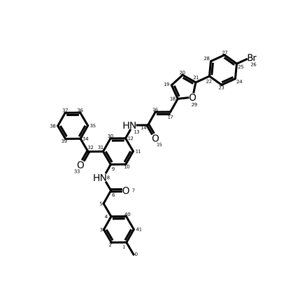 Cc1ccc(CC(=O)Nc2ccc(NC(=O)C=Cc3ccc(-c4ccc(Br)cc4)o3)cc2C(=O)c2ccccc2)cc1